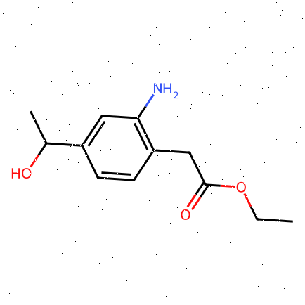 CCOC(=O)Cc1ccc(C(C)O)cc1N